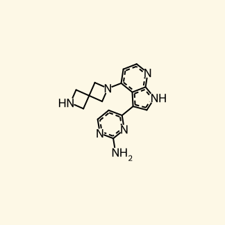 Nc1nccc(-c2c[nH]c3nccc(N4CC5(CNC5)C4)c23)n1